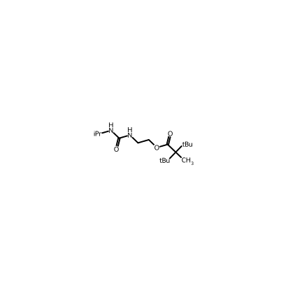 CC(C)NC(=O)NCCOC(=O)C(C)(C(C)(C)C)C(C)(C)C